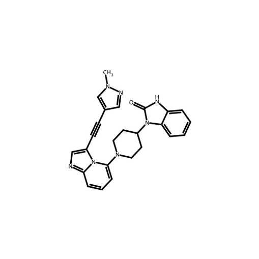 Cn1cc(C#Cc2cnc3cccc(N4CCC(n5c(=O)[nH]c6ccccc65)CC4)n23)cn1